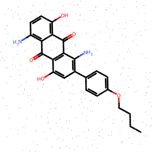 CCCCOc1ccc(-c2cc(O)c3c(c2N)C(=O)c2c(O)ccc(N)c2C3=O)cc1